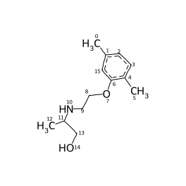 Cc1ccc(C)c(OCCNC(C)CO)c1